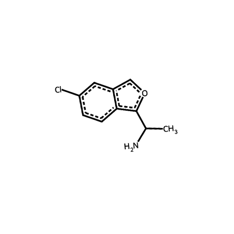 CC(N)c1occ2cc(Cl)ccc12